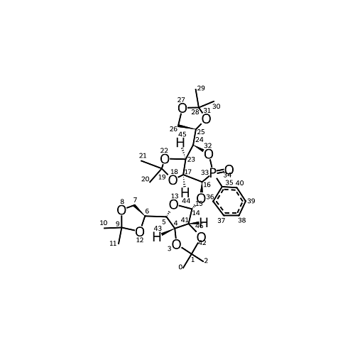 CC1(C)O[C@@H]2[C@H]([C@@H]3COC(C)(C)O3)O[C@H](O[C@H]3[C@H]4OC(C)(C)O[C@H]4[C@@H]([C@H]4COC(C)(C)O4)OP3(=O)c3ccccc3)[C@@H]2O1